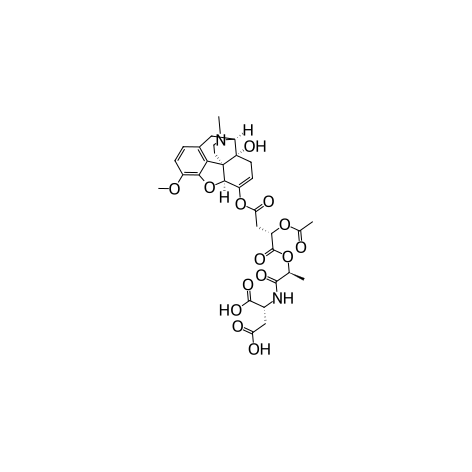 COc1ccc2c3c1O[C@@H]1C(OC(=O)C[C@H](OC(C)=O)C(=O)O[C@@H](C)C(=O)N[C@H](CC(=O)O)C(=O)O)=CC[C@]4(O)[C@H](C2)N(C)CC[C@@]314